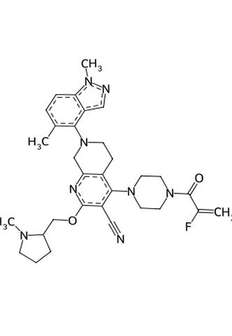 C=C(F)C(=O)N1CCN(c2c(C#N)c(OCC3CCCN3C)nc3c2CCN(c2c(C)ccc4c2cnn4C)C3)CC1